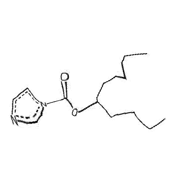 CCCCC(CCCC)OC(=O)n1ccnc1